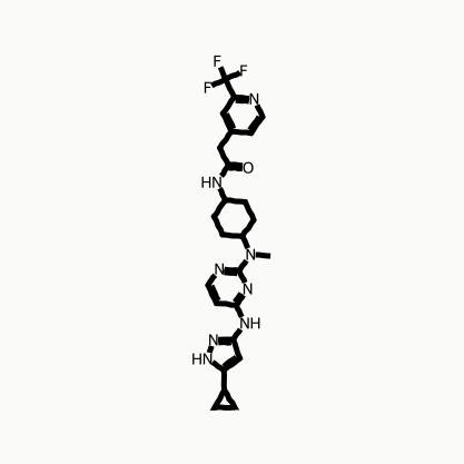 CN(c1nccc(Nc2cc(C3CC3)[nH]n2)n1)C1CCC(NC(=O)Cc2ccnc(C(F)(F)F)c2)CC1